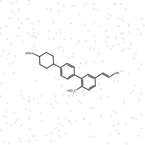 CCCC=Cc1ccc(C(=O)O)c(-c2ccc(C3CCC(CCCCCC)CC3)cc2)c1